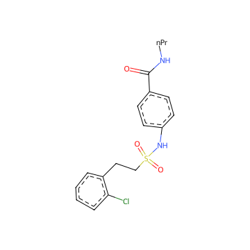 CCCNC(=O)c1ccc(NS(=O)(=O)CCc2ccccc2Cl)cc1